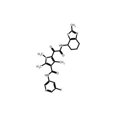 Cc1nc2c(s1)C(NC(=O)C(=O)c1c(C)c(C(=O)Nc3cncc(F)c3)c(C)n1C)CCC2